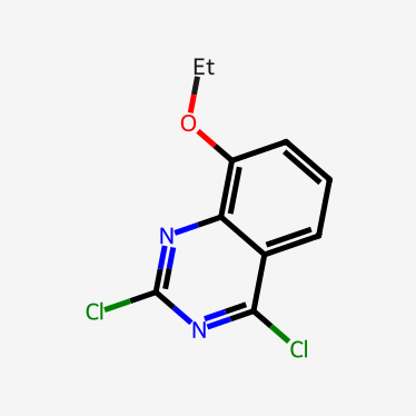 CCOc1cccc2c(Cl)nc(Cl)nc12